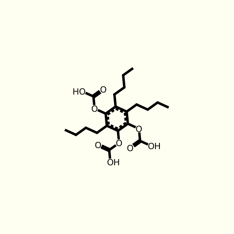 CCCCc1c(CCCC)c(OC(=O)O)c(OC(=O)O)c(CCCC)c1OC(=O)O